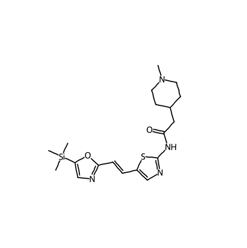 CN1CCC(CC(=O)Nc2ncc(C=Cc3ncc([Si](C)(C)C)o3)s2)CC1